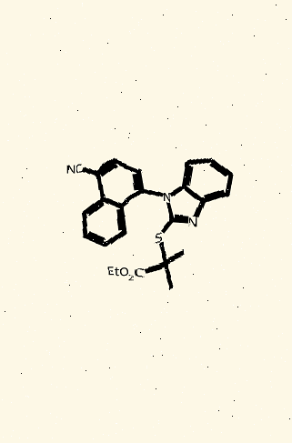 CCOC(=O)C(C)(C)Sc1nc2ccccc2n1-c1ccc(C#N)c2ccccc12